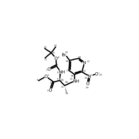 COC(=O)[C@@H](NC(=O)OC(C)(C)C)[C@@H](C)Nc1cc(Br)cnc1[N+](=O)[O-]